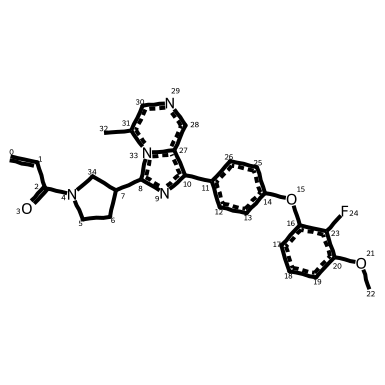 C=CC(=O)N1CCC(c2nc(-c3ccc(Oc4cccc(OC)c4F)cc3)c3cncc(C)n23)C1